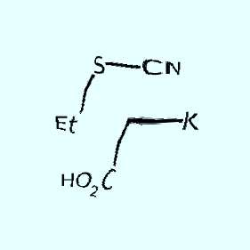 CCSC#N.O=C(O)[CH2][K]